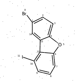 Brc1ccc2oc3cccc(I)c3c2c1